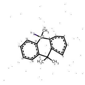 CC1(C)c2ccccc2[Si](C)(I)c2ccccc21